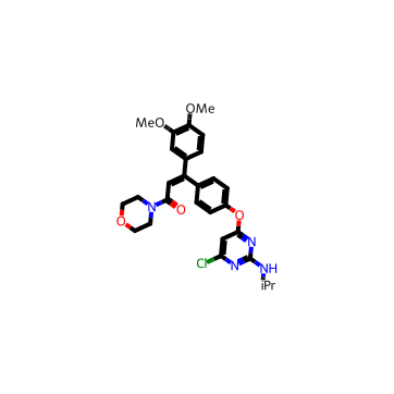 COc1ccc(C(=CC(=O)N2CCOCC2)c2ccc(Oc3cc(Cl)nc(NC(C)C)n3)cc2)cc1OC